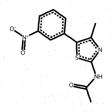 CC(=O)Nc1nc(C)c(-c2cccc([N+](=O)[O-])c2)s1